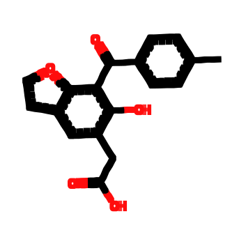 Cc1ccc(C(=O)c2c(O)c(CC(=O)O)cc3ccoc23)cc1